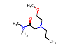 CCCN(CCOC)CC(=O)N(C)C